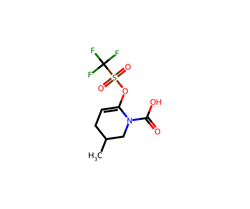 CC1CC=C(OS(=O)(=O)C(F)(F)F)N(C(=O)O)C1